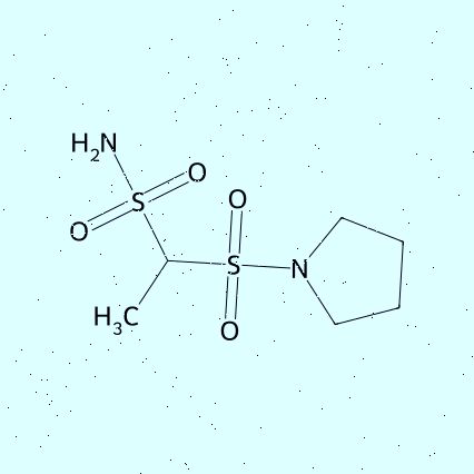 CC(S(N)(=O)=O)S(=O)(=O)N1CCCC1